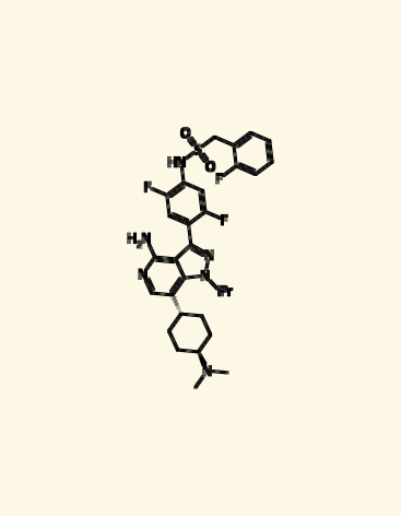 CC(C)n1nc(-c2cc(F)c(NS(=O)(=O)Cc3ccccc3F)cc2F)c2c(N)ncc([C@H]3CC[C@H](N(C)C)CC3)c21